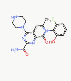 NC(=O)c1nc(N2CCNCC2)c2cc(C(F)(F)F)n(-c3c(O)cccc3F)c(=O)c2n1